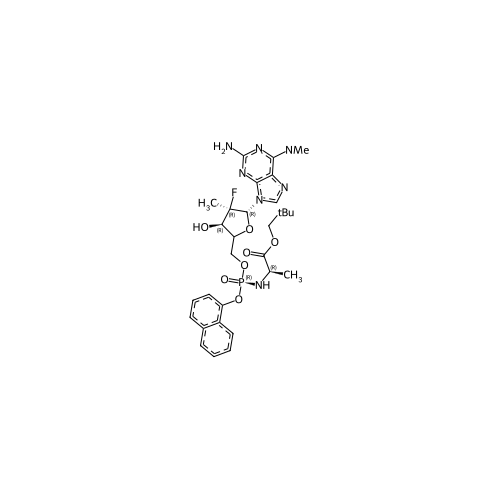 CNc1nc(N)nc2c1ncn2[C@@H]1OC(CO[P@](=O)(N[C@H](C)C(=O)OCC(C)(C)C)Oc2cccc3ccccc23)[C@@H](O)[C@@]1(C)F